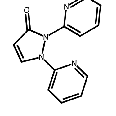 O=c1ccn(-c2ccccn2)n1-c1ccccn1